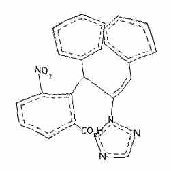 O=C(O)c1cccc([N+](=O)[O-])c1C(/C(=C\c1ccccc1)n1cncn1)c1ccccc1